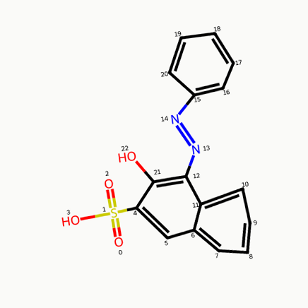 O=S(=O)(O)c1cc2ccccc2c(N=Nc2ccccc2)c1O